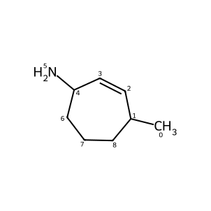 CC1C=CC(N)CCC1